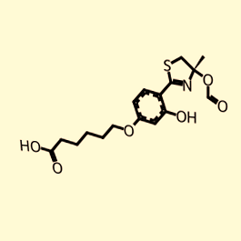 C[C@]1(OC=O)CSC(c2ccc(OCCCCCC(=O)O)cc2O)=N1